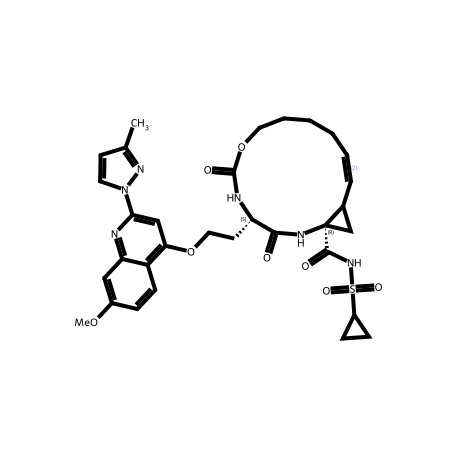 COc1ccc2c(OCC[C@@H]3NC(=O)OCCCC/C=C\C4C[C@@]4(C(=O)NS(=O)(=O)C4CC4)NC3=O)cc(-n3ccc(C)n3)nc2c1